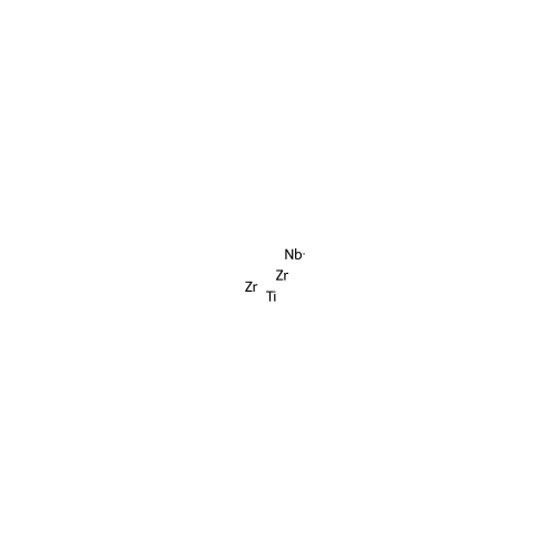 [Nb].[Ti].[Zr].[Zr]